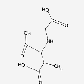 CC(C(=O)O)C(NCC(=O)O)C(=O)O